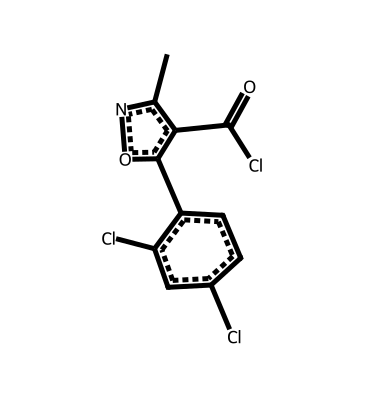 Cc1noc(-c2ccc(Cl)cc2Cl)c1C(=O)Cl